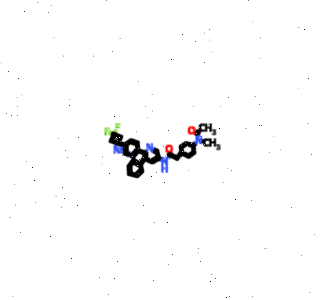 CC(=O)N(C)C1CCC(CC(=O)Nc2cnc(-c3ccc(C4(N)CC(F)(F)C4)cc3)c(-c3ccccc3)c2)CC1